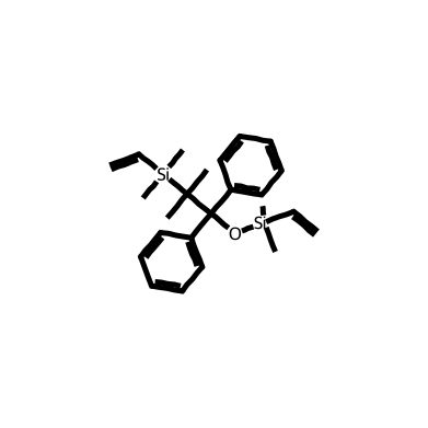 C=C[Si](C)(C)OC(c1ccccc1)(c1ccccc1)C(C)(C)[Si](C)(C)C=C